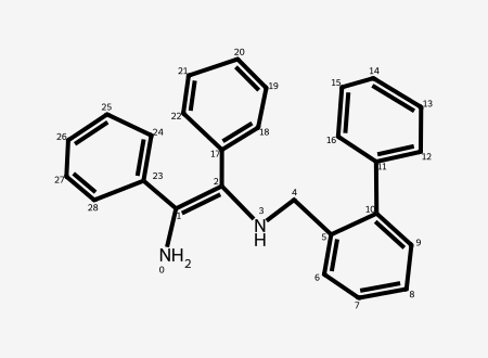 N/C(=C(\NCc1ccccc1-c1ccccc1)c1ccccc1)c1ccccc1